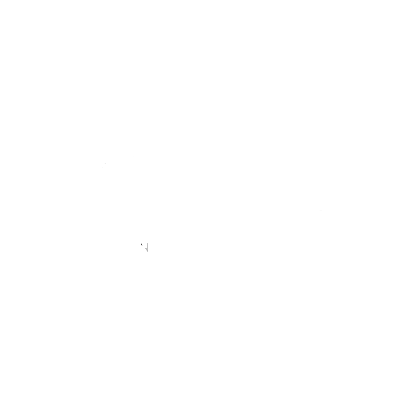 COc1ccc(-c2oc(=O)c3ccc[nH]c2-3)cc1